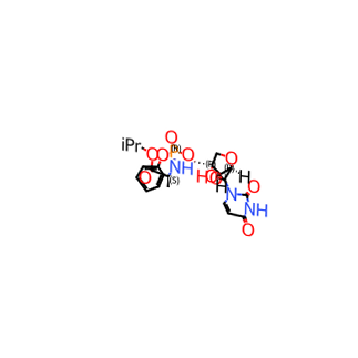 CC(C)OC(=O)[C@H](C)N[P@@](=O)(OC[C@@]12CO[C@@H](C(n3ccc(=O)[nH]c3=O)O1)[C@@H]2O)Oc1ccccc1